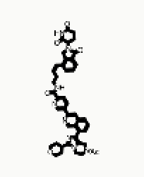 CC(=O)N1CCn2c(C3CCOCC3)nc(-c3cccc4cc(-c5ccc(C(=O)NCC/C=C\c6cccc7c6CN(C6CCC(=O)NC6=O)C7=O)nc5)ncc34)c2C1